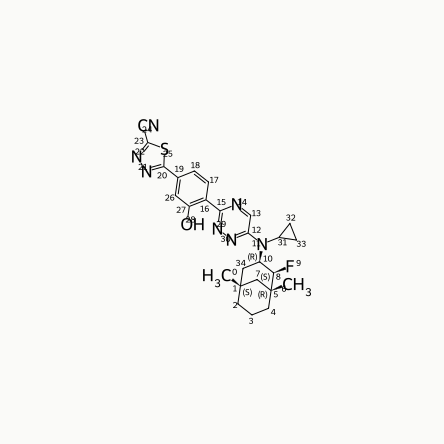 C[C@]12CCC[C@](C)(C1)[C@H](F)[C@H](N(c1cnc(-c3ccc(-c4nnc(C#N)s4)cc3O)nn1)C1CC1)C2